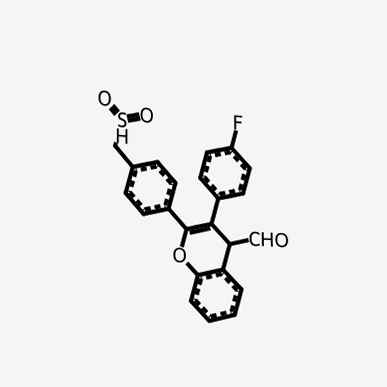 O=CC1C(c2ccc(F)cc2)=C(c2ccc(C[SH](=O)=O)cc2)Oc2ccccc21